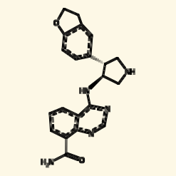 NC(=O)c1cccc2c(N[C@@H]3CNC[C@H]3c3ccc4c(c3)CCO4)ncnc12